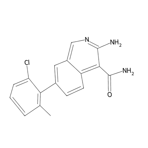 Cc1cccc(Cl)c1-c1ccc2c(C(N)=O)c(N)ncc2c1